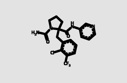 NC(=O)N1CCCC1(Cc1cccc(C(F)(F)F)c1Cl)C(=O)Nc1cccnc1